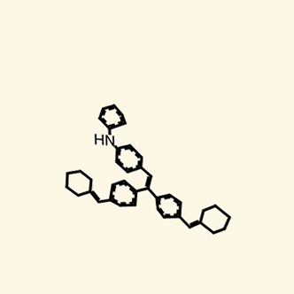 C(=C1CCCCC1)c1ccc(C(=Cc2ccc(Nc3ccccc3)cc2)c2ccc(C=C3CCCCC3)cc2)cc1